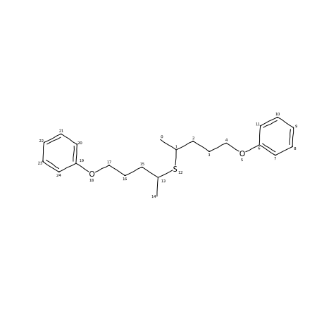 CC(CCCOc1ccccc1)SC(C)CCCOc1ccccc1